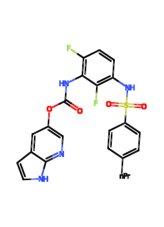 CCCc1ccc(S(=O)(=O)Nc2ccc(F)c(NC(=O)Oc3cnc4[nH]ccc4c3)c2F)cc1